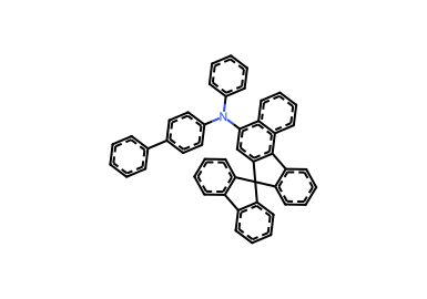 c1ccc(-c2ccc(N(c3ccccc3)c3cc4c(c5ccccc35)-c3ccccc3C43c4ccccc4-c4ccccc43)cc2)cc1